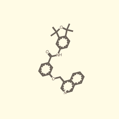 CC1(C)OC(C)(C)c2cc(NC(=O)c3cccc(OCc4cncc5ccccc45)c3)ccc21